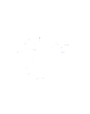 C[C@@H](CCCNC(=N)N)C(=O)NC(/C=C/c1c[nH]c2ccccc12)C(N)=O